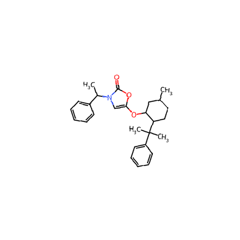 CC1CCC(C(C)(C)c2ccccc2)C(Oc2cn(C(C)c3ccccc3)c(=O)o2)C1